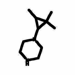 CC1C(N2CCNCC2)C1(C)C